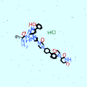 CC(C)[C@H](N)C(=O)Nc1nnc(-c2ccccc2O)cc1-n1cc(N2CCN(C3CCC(c4cccc5c4OCCN5[C@H]4CCC(=O)NC4=O)CC3)CC2=O)cn1.Cl